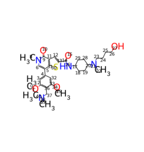 COc1cc(-c2cn(C)c(=O)c3cc(C(=O)NC4CCC(N(C)CCCCO)CC4)sc23)cc(OC)c1CN(C)C